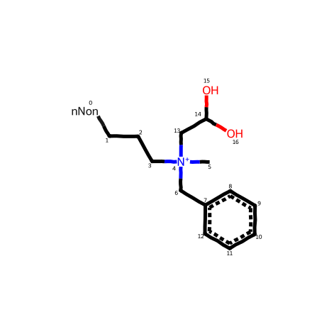 CCCCCCCCCCCC[N+](C)(Cc1ccccc1)CC(O)O